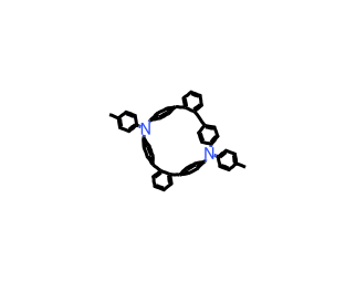 Cc1ccc(N2c3ccc(cc3)-c3ccccc3-c3ccc(cc3)N(c3ccc(C)cc3)c3ccc(cc3)-c3ccccc3-c3ccc2cc3)cc1